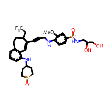 COc1cc([S+]([O-])NCC(O)CO)ccc1NCC#CC1=Cc2c(cccc2NC2CC[S+]([O-])CC2)CCC1CC(F)(F)F